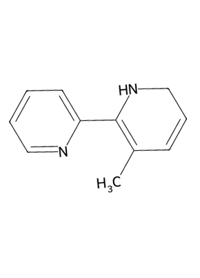 CC1=C(c2ccccn2)NCC=C1